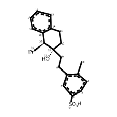 Cc1ccc(S(=O)(=O)O)cc1CC[C@]1(O)CCc2ccccc2[C@@H]1C(C)C